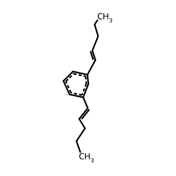 CCC/C=C/c1[c]ccc(/C=C/CCC)c1